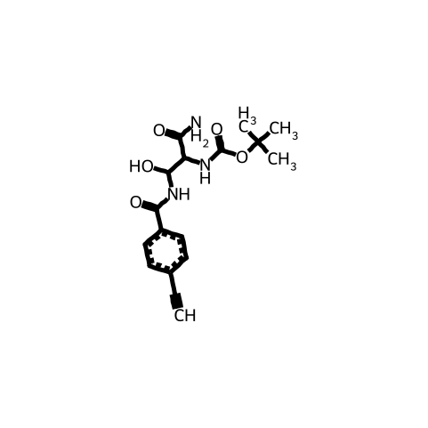 C#Cc1ccc(C(=O)NC(O)C(NC(=O)OC(C)(C)C)C(N)=O)cc1